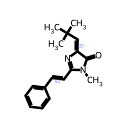 CN1C(=O)/C(=C/C(C)(C)C)N=C1/C=C/c1ccccc1